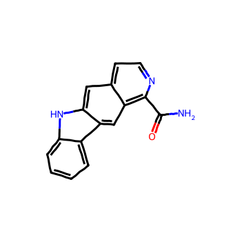 NC(=O)c1nccc2cc3[nH]c4ccccc4c3cc12